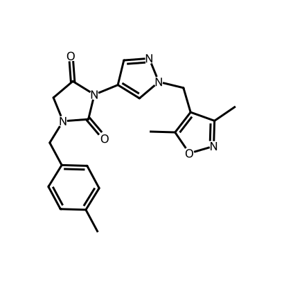 Cc1ccc(CN2CC(=O)N(c3cnn(Cc4c(C)noc4C)c3)C2=O)cc1